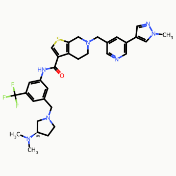 CN(C)[C@@H]1CCN(Cc2cc(NC(=O)c3csc4c3CCN(Cc3cncc(-c5cnn(C)c5)c3)C4)cc(C(F)(F)F)c2)C1